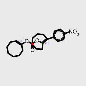 O=C(O/C1=C/CCCCCC1)O/C1=C(/c2ccc([N+](=O)[O-])cc2)CCCCCC1